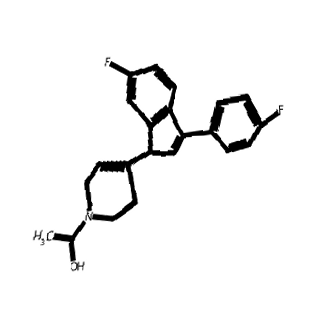 CC(O)N1CC=C(C2C=C(c3ccc(F)cc3)c3ccc(F)cc32)CC1